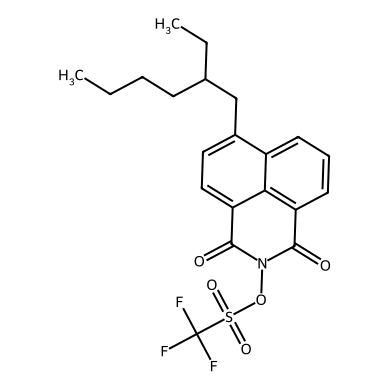 CCCCC(CC)Cc1ccc2c3c(cccc13)C(=O)N(OS(=O)(=O)C(F)(F)F)C2=O